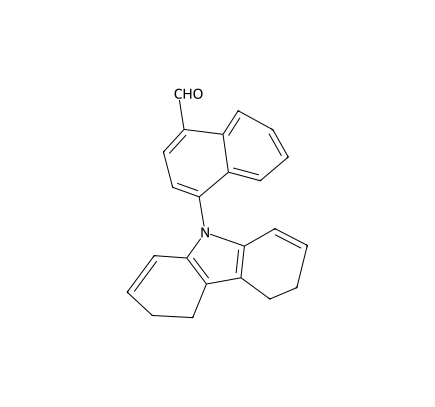 O=Cc1ccc(-n2c3c(c4c2C=CCC4)CCC=C3)c2ccccc12